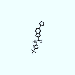 CC(C)(C)c1csc(NC(=O)c2cc3cc(C4=CCCC4)ccc3s2)n1